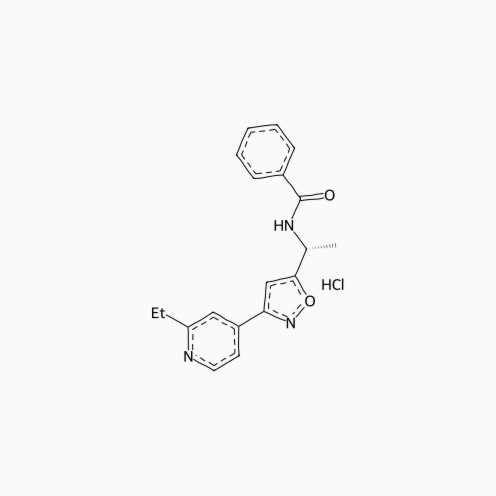 CCc1cc(-c2cc([C@@H](C)NC(=O)c3ccccc3)on2)ccn1.Cl